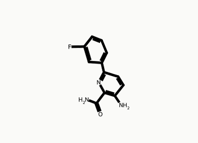 NC(=O)c1nc(-c2cccc(F)c2)ccc1N